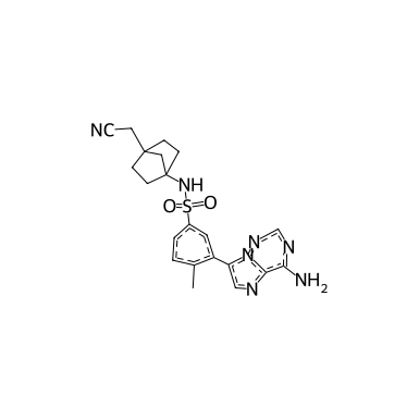 Cc1ccc(S(=O)(=O)NC23CCC(CC#N)(CC2)C3)cc1-c1cnc2c(N)ncnn12